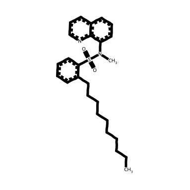 CCCCCCCCCCc1ccccc1S(=O)(=O)N(C)c1cccc2cccnc12